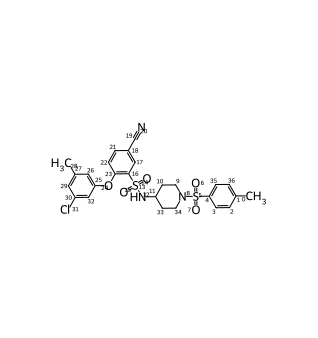 Cc1ccc(S(=O)(=O)N2CCC(NS(=O)(=O)c3cc(C#N)ccc3Oc3cc(C)cc(Cl)c3)CC2)cc1